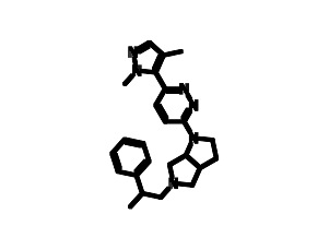 Cc1cnn(C)c1-c1ccc(N2CCC3CN(CC(C)c4ccccc4)CC32)nn1